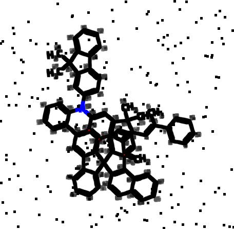 C=CC1=C(/C=C(\C)c2ccccc2)C(C)(C)c2cc(N(c3ccc4c(c3)C(C)(C)c3ccccc3-4)c3ccccc3-c3ccc4c(c3)-c3ccccc3C43c4ccccc4-c4c3ccc3ccccc43)ccc21